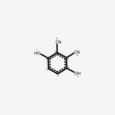 N#Cc1c(O)ccc(O)c1C#N